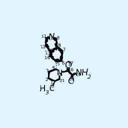 C[C@H]1CC[C@H](c2ccc3cnccc3c2)N(C(=O)C(N)=O)C1